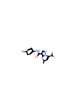 CCc1ccc(NC(=O)c2cnn3c(C(F)I)cc(C)nc23)cc1